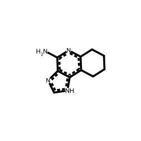 Nc1nc2c(c3[nH]cnc13)CCCC2